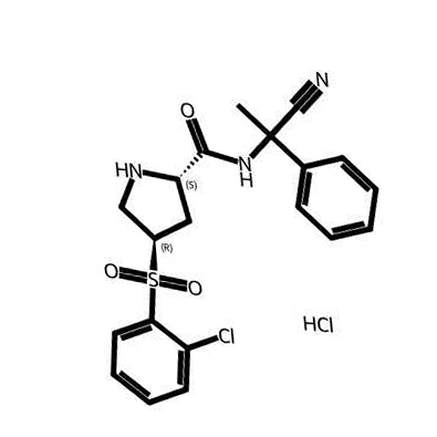 CC(C#N)(NC(=O)[C@@H]1C[C@@H](S(=O)(=O)c2ccccc2Cl)CN1)c1ccccc1.Cl